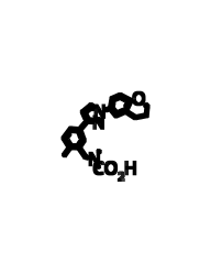 Cc1ccc(-c2ccn(-c3ccc4c(c3)CCCO4)n2)cc1CN(C)C(=O)O